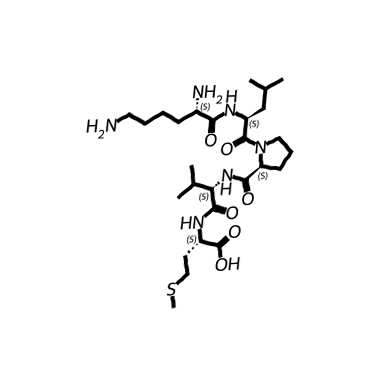 CSCC[C@H](NC(=O)[C@@H](NC(=O)[C@@H]1CCCN1C(=O)[C@H](CC(C)C)NC(=O)[C@@H](N)CCCCN)C(C)C)C(=O)O